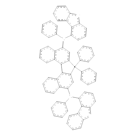 c1ccc(N(c2cc3c(c4ccccc24)-c2c(cc(N(c4ccccc4)c4cccc5oc6ccccc6c45)c4ccccc24)C3(c2ccccc2)c2ccccc2)c2cccc3oc4ccccc4c23)cc1